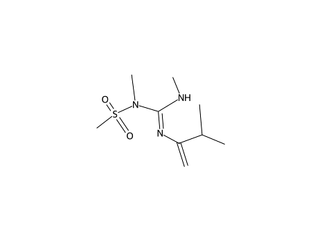 C=C(/N=C(\NC)N(C)S(C)(=O)=O)C(C)C